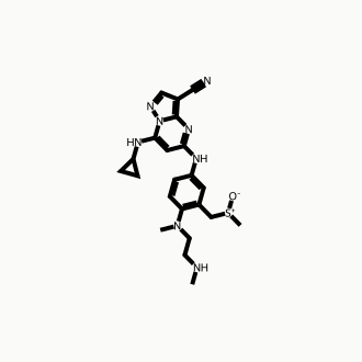 CNCCN(C)c1ccc(Nc2cc(NC3CC3)n3ncc(C#N)c3n2)cc1C[S+](C)[O-]